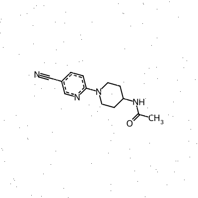 CC(=O)NC1CCN(c2ccc(C#N)cn2)CC1